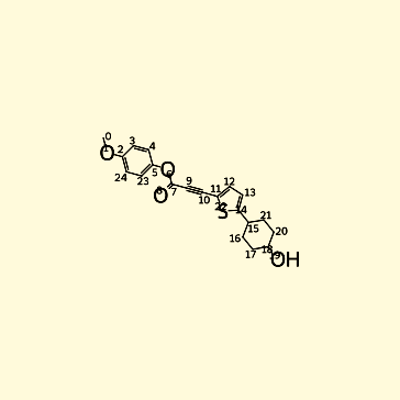 COc1ccc(OC(=O)C#Cc2ccc(C3CCC(O)CC3)s2)cc1